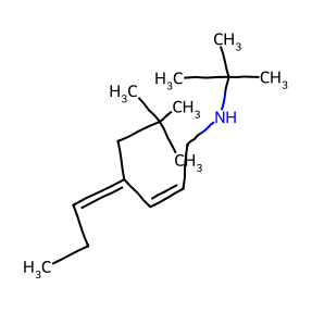 CC/C=C(\C=C/CNC(C)(C)C)CC(C)(C)C